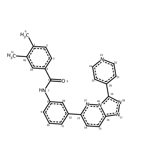 Cc1ccc(C(=O)Nc2cccc(-c3ccc4nnc(-c5ccncc5)n4n3)c2)cc1C